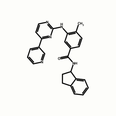 Cc1ccc(C(=O)NC2CCc3ccccc32)cc1Nc1nccc(-c2cccnc2)n1